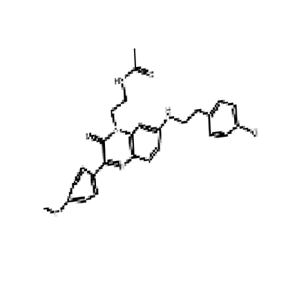 COc1ccc(-c2nc3ccc(NCCc4ccc(Cl)cc4)cc3n(CCNC(C)=O)c2=O)cc1